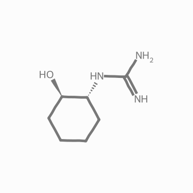 N=C(N)N[C@@H]1CCCC[C@H]1O